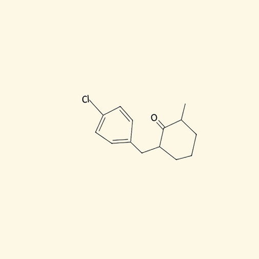 CC1CCCC(Cc2ccc(Cl)cc2)C1=O